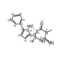 CCC[C@@H]1C(=O)N(C)C(=N)N[C@]1(C)c1ccc(-c2cccnc2)s1